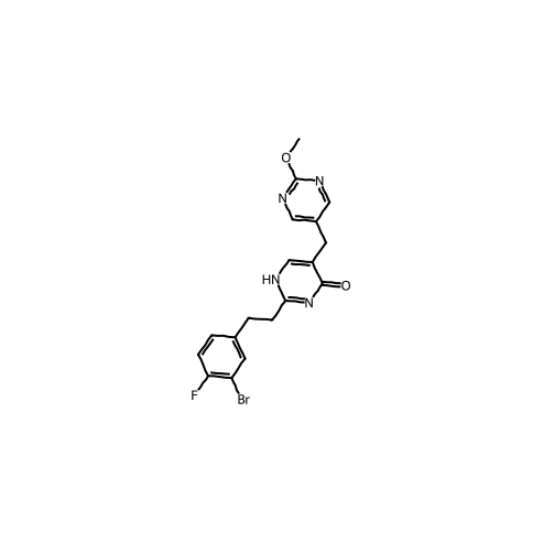 COc1ncc(Cc2c[nH]c(CCc3ccc(F)c(Br)c3)nc2=O)cn1